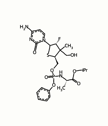 CC(C)OC(=O)[C@H](C)NP(=O)(OC[C@H]1SC(n2ccc(N)nc2=O)[C@H](F)C1(C)CO)Oc1ccccc1